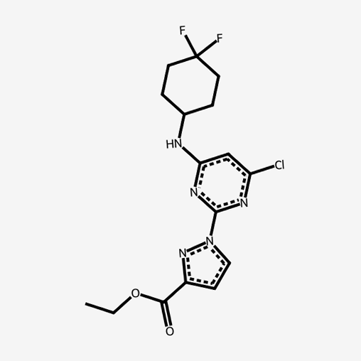 CCOC(=O)c1ccn(-c2nc(Cl)cc(NC3CCC(F)(F)CC3)n2)n1